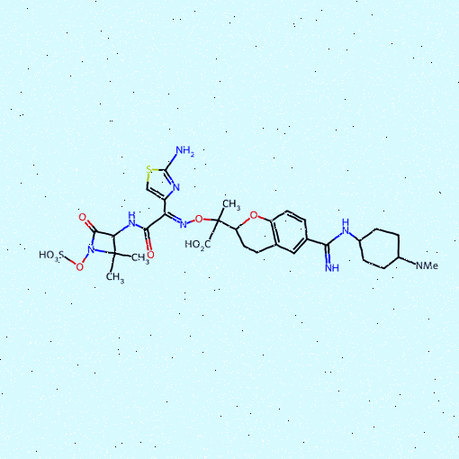 CNC1CCC(NC(=N)c2ccc3c(c2)CCC(C(C)(ON=C(C(=O)NC2C(=O)N(OS(=O)(=O)O)C2(C)C)c2csc(N)n2)C(=O)O)O3)CC1